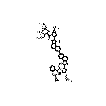 CC[C@H](C)[C@H](NC(=O)OC)C(=O)N1C2C(C)C2C[C@H]1c1nc2ccc3cc(-c4ccc5c(ccc6nc([C@@H]7C[C@H](COC)CN7C(=O)[C@H](NC(=O)C7CC7)c7ccccc7)[nH]c65)c4)ccc3c2[nH]1